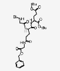 CCNCC(=O)NC(CCC(=O)NCC(=O)OCc1ccccc1)C(=O)NC(CCC(=O)OC(C)(C)C)C(=O)OC(C)(C)C